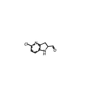 O=CC1Cc2nc(Cl)ccc2N1